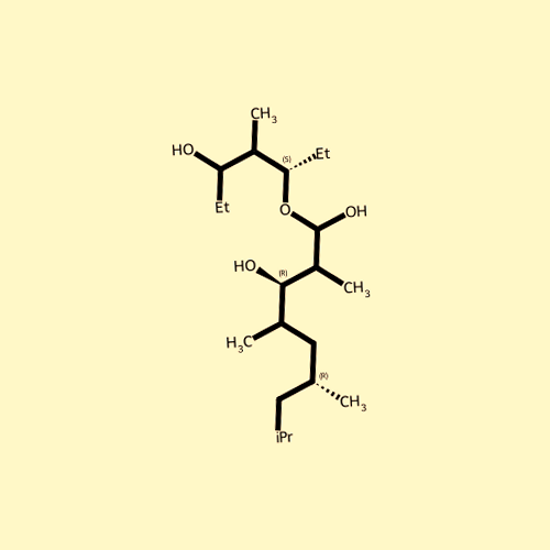 CCC(O)C(C)[C@H](CC)OC(O)C(C)[C@H](O)C(C)C[C@H](C)CC(C)C